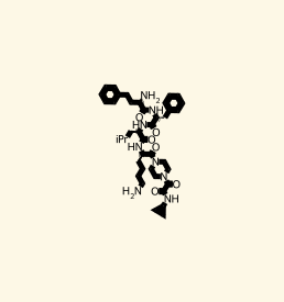 CC(C)C[C@@H](NC(=O)[C@@H](Cc1ccccc1)NC(=O)[C@H](N)CCc1ccccc1)C(=O)N[C@H](CCCCN)C(=O)N1CCN(C(=O)C(=O)NC2CC2)CC1